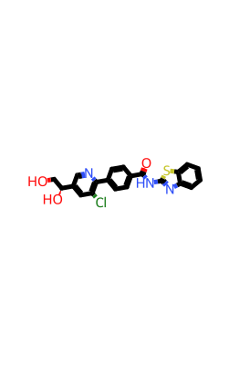 O=C(Nc1nc2ccccc2s1)c1ccc(-c2ncc([C@H](O)CO)cc2Cl)cc1